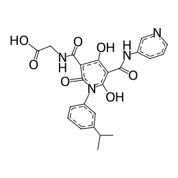 CC(C)c1cccc(-n2c(O)c(C(=O)Nc3cccnc3)c(O)c(C(=O)NCC(=O)O)c2=O)c1